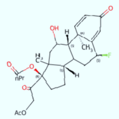 CCCC(=O)O[C@]1(C(=O)COC(C)=O)CC[C@H]2C3C[C@H](F)C4=CC(=O)C=C[C@]4(C)[C@H]3C(O)CC21C